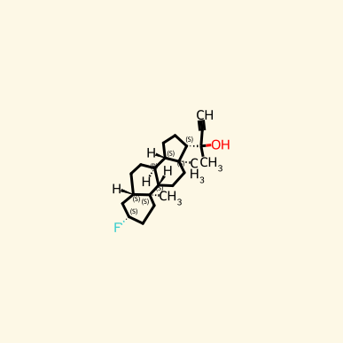 C#CC(C)(O)[C@H]1CC[C@H]2[C@@H]3CC[C@H]4C[C@@H](F)CC[C@]4(C)[C@H]3CC[C@]12C